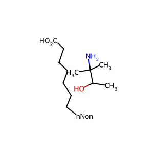 CC(O)C(C)(C)N.CCCCCCCCCCCCCCCC(=O)O